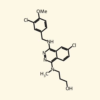 COc1ccc(CNc2nnc(N(C)CCCO)c3ccc(Cl)cc23)cc1Cl